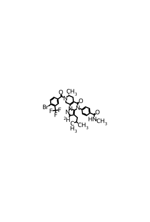 [2H]c1nn2c3c(c(=O)n(-c4ccc(C(=O)NC)cc4)c2c1CC(C)C)C[C@@H](C)N(C(=O)c1ccc(Br)c(C(F)(F)F)c1)C3